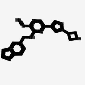 N=Nc1ncc(-c2cnn(C3CNC3)c2)nc1NCc1ccc2nccn2c1